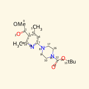 COC(=O)c1c(C)cc(N2CCN(C(=O)OC(C)(C)C)CC2)nc1C